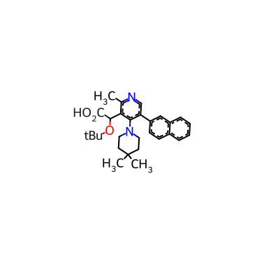 Cc1ncc(-c2ccc3ccccc3c2)c(N2CCC(C)(C)CC2)c1C(OC(C)(C)C)C(=O)O